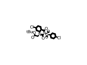 CC(C)(C)OC(=O)Cn1c(=O)n(S(=O)(=O)c2ccc(Cl)cc2)c(=O)c2ccc(Cl)cc21